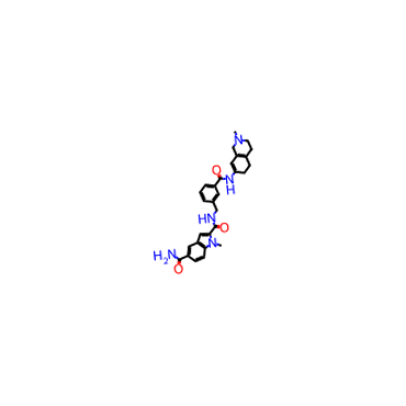 CN1CCC2=C(C=C(NC(=O)c3cccc(CNC(=O)c4cc5cc(C(N)=O)ccc5n4C)c3)CC2)C1